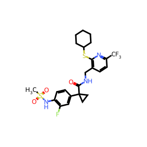 CS(=O)(=O)Nc1ccc(C2(C(=O)NCc3ccc(C(F)(F)F)nc3SC3CCCCC3)CC2)cc1F